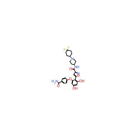 NC(=O)c1ccc(Oc2cc(O)cc(O)c2-c2cc(C(=O)NC3CCN(C4CCC(F)(F)CC4)CC3)no2)cc1